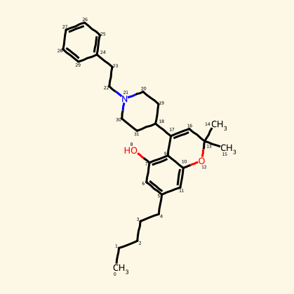 CCCCCc1cc(O)c2c(c1)OC(C)(C)C=C2C1CCN(CCc2ccccc2)CC1